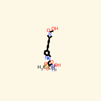 C[C@@](CCn1cc2cc(C#CC#CC3CN(C(=O)CO)C3)ccc2n1)(C(=O)NO)S(C)(=O)=O